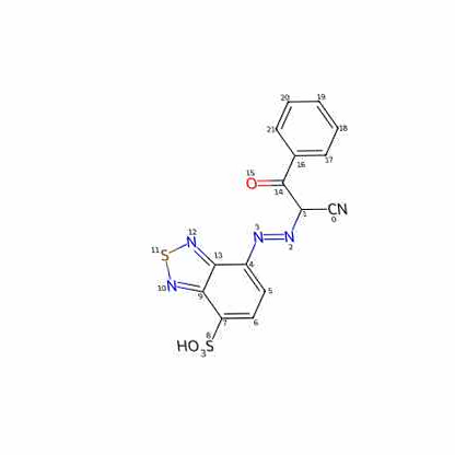 N#CC(/N=N/c1ccc(S(=O)(=O)O)c2nsnc12)C(=O)c1ccccc1